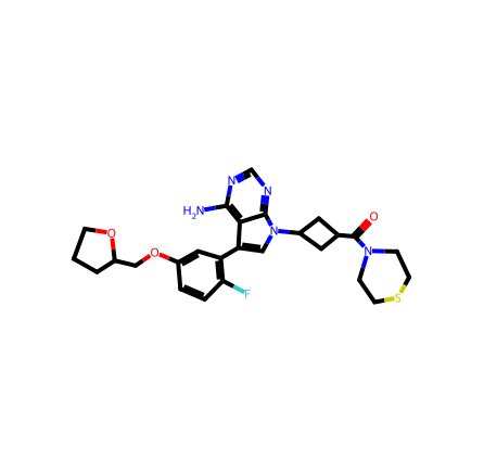 Nc1ncnc2c1c(-c1cc(OCC3CCCO3)ccc1F)cn2C1CC(C(=O)N2CCSCC2)C1